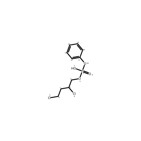 O=P(O)(OCC(Cl)CCCl)Oc1ccccc1